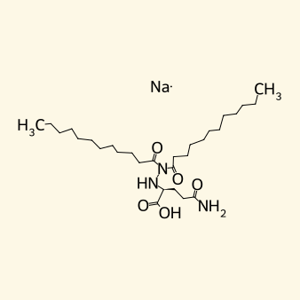 CCCCCCCCCCCC(=O)N(N[C@@H](CCC(N)=O)C(=O)O)C(=O)CCCCCCCCCCC.[Na]